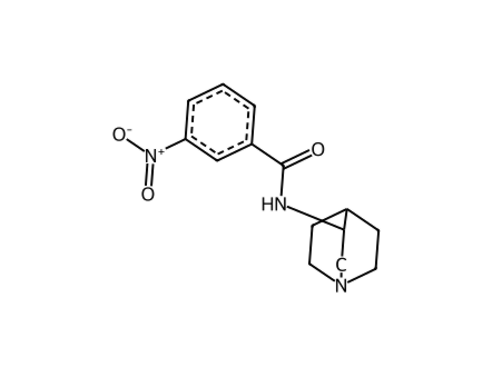 O=C(NC1CN2CCC1CC2)c1cccc([N+](=O)[O-])c1